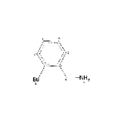 CCC(C)c1ccccc1CN